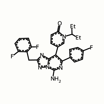 CCC(CC)n1cc(-c2c(-c3ccc(F)cc3)nc(N)n3nc(Cc4c(F)cccc4F)nc23)ccc1=O